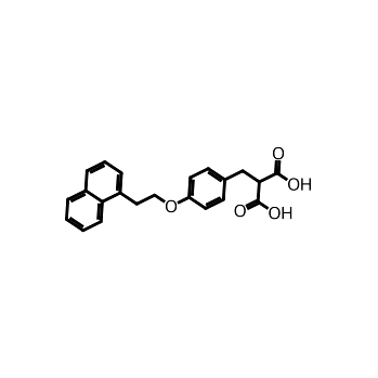 O=C(O)C(Cc1ccc(OCCc2cccc3ccccc23)cc1)C(=O)O